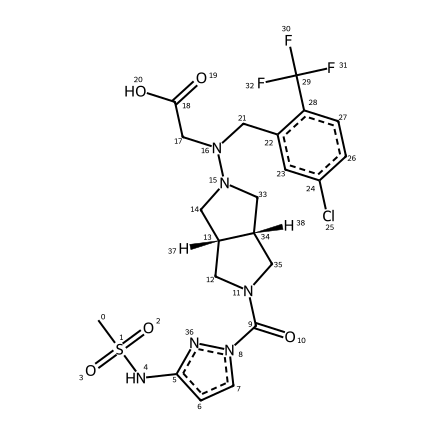 CS(=O)(=O)Nc1ccn(C(=O)N2C[C@@H]3CN(N(CC(=O)O)Cc4cc(Cl)ccc4C(F)(F)F)C[C@@H]3C2)n1